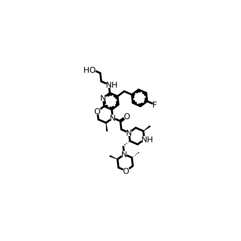 C[C@@H]1CN(CC(=O)N2c3cc(Cc4ccc(F)cc4)c(NCCO)nc3OC[C@@H]2C)[C@@H](CN2[C@H](C)COC[C@H]2C)CN1